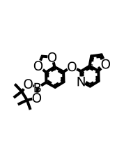 CC1(C)OB(c2ccc(Oc3nccc4occc34)c3c2OCO3)OC1(C)C